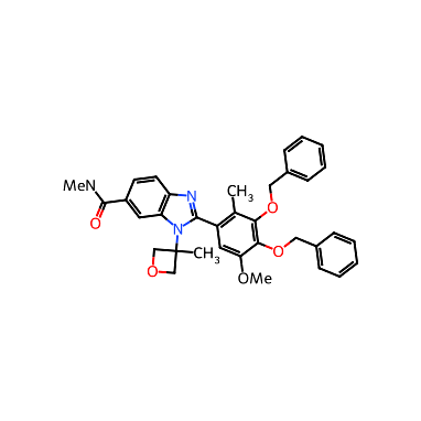 CNC(=O)c1ccc2nc(-c3cc(OC)c(OCc4ccccc4)c(OCc4ccccc4)c3C)n(C3(C)COC3)c2c1